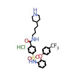 Cl.O=C(NCCCCC1CCNCC1)c1ccc(S(=O)(=O)Nc2ccccc2Oc2ccc(C(F)(F)F)cc2)cc1